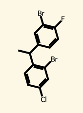 C[C](c1ccc(F)c(Br)c1)c1ccc(Cl)cc1Br